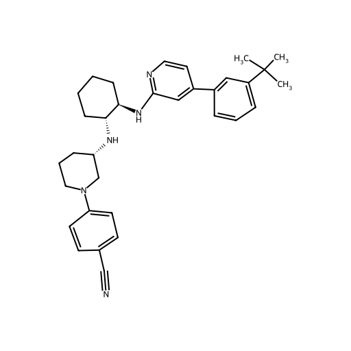 CC(C)(C)c1cccc(-c2ccnc(N[C@@H]3CCCC[C@H]3N[C@H]3CCCN(c4ccc(C#N)cc4)C3)c2)c1